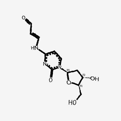 O=CC=CNc1ccn([C@H]2C[C@H](O)[C@@H](CO)O2)c(=O)n1